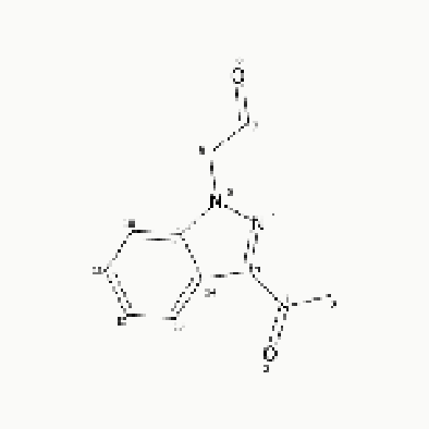 CC(=O)c1nn(CC=O)c2ccccc12